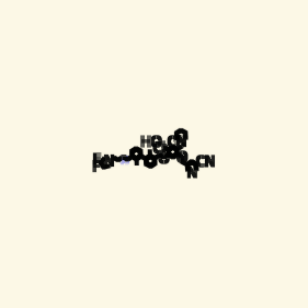 Cc1c(/C=C/CCN2CCC(F)(F)C2)cccc1-c1cccc(COc2cc(OCc3cncc(C#N)c3)c(CN3CCCC[C@H]3C(=O)O)cc2Cl)c1C